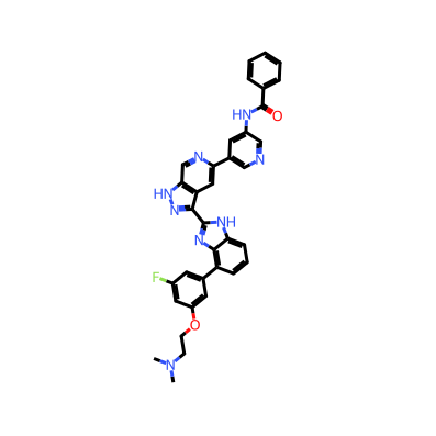 CN(C)CCOc1cc(F)cc(-c2cccc3[nH]c(-c4n[nH]c5cnc(-c6cncc(NC(=O)c7ccccc7)c6)cc45)nc23)c1